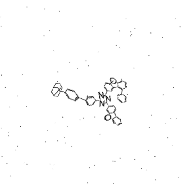 c1ccc(-c2cccc3oc4ccc(-c5nc(-c6ccc(-c7ccc(C89CC%10CC(CC(C%10)C8)C9)cc7)cc6)nc(-c6ccc7c(c6)oc6ccccc67)n5)cc4c23)cc1